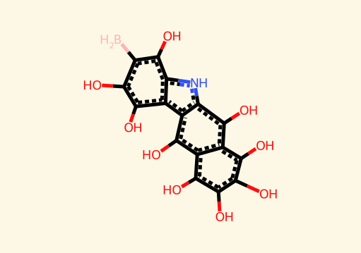 Bc1c(O)c(O)c2c([nH]c3c(O)c4c(O)c(O)c(O)c(O)c4c(O)c32)c1O